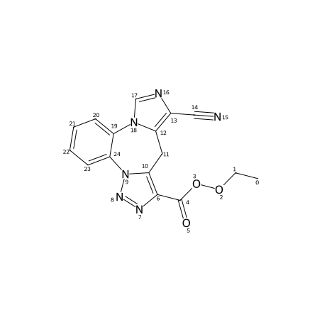 CCOOC(=O)c1nnn2c1Cc1c(C#N)ncn1-c1ccccc1-2